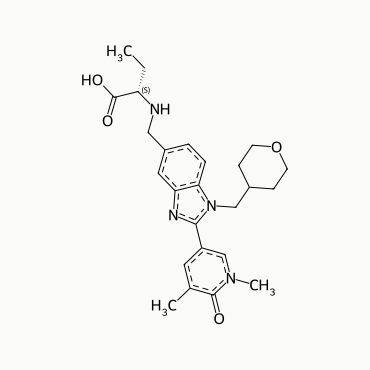 CC[C@H](NCc1ccc2c(c1)nc(-c1cc(C)c(=O)n(C)c1)n2CC1CCOCC1)C(=O)O